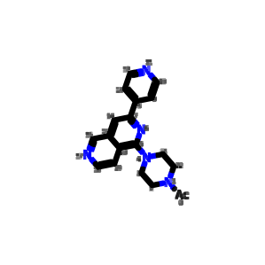 CC(=O)N1CCN(c2nc(-c3ccncc3)cc3cnccc23)CC1